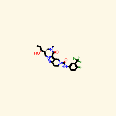 CC[C@@H](O)[C@@H]1CN(C)C(=O)c2c3c(nn2C1)CCN(C(=O)Nc1ccc(F)c(C(F)(F)F)c1)C3